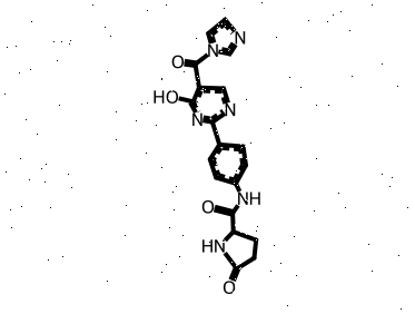 O=C1CCC(C(=O)Nc2ccc(-c3ncc(C(=O)n4ccnc4)c(O)n3)cc2)N1